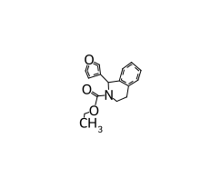 CCOC(=O)N1CCc2ccccc2C1c1ccoc1